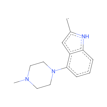 [CH2]c1cc2c(N3CCN(C)CC3)cccc2[nH]1